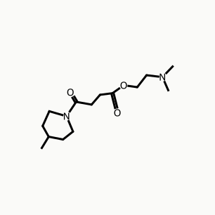 CC1CCN(C(=O)CCC(=O)OCCN(C)C)CC1